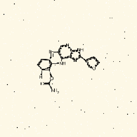 NC(=O)O[C@@H]1[C@H](Nc2c(Br)cnc3[nH]c(-c4ccoc4)nc23)[C@H]2C=C[C@@H]1C2